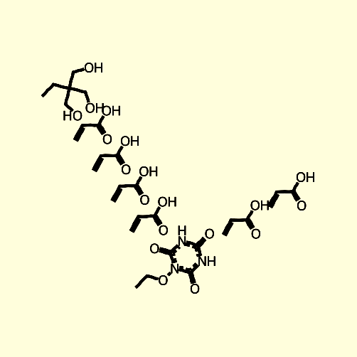 C=CC(=O)O.C=CC(=O)O.C=CC(=O)O.C=CC(=O)O.C=CC(=O)O.C=CC(=O)O.CCC(CO)(CO)CO.CCOn1c(=O)[nH]c(=O)[nH]c1=O